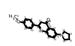 COc1ccc(C2=Nc3ccc(N4CCCC4)cc3C(=O)C2)cc1